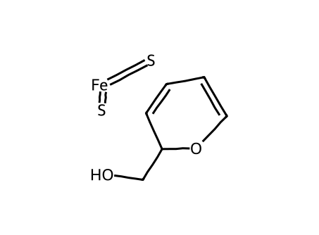 OCC1C=CC=CO1.[S]=[Fe]=[S]